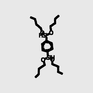 CCCCO[SiH](OCCCC)c1ccc([SiH](OCCCC)OCCCC)cc1